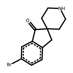 O=C1c2cc(Br)ccc2CC12CCNCC2